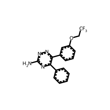 Nc1nnc(-c2cccc(OCC(F)(F)F)c2)c(-c2ccccc2)n1